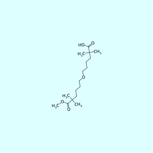 COC(=O)C(C)(C)CCCCOCCCCC(C)(C)C(=O)O